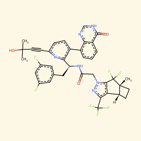 CC(C)(O)C#Cc1ccc(-c2cccc3c(=O)[nH]cnc23)c([C@H](Cc2cc(F)cc(F)c2)NC(=O)Cn2nc(C(F)(F)F)c3c2C(F)(F)[C@]2(C)CC[C@H]32)n1